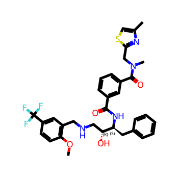 COc1ccc(C(F)(F)F)cc1CNC[C@@H](O)[C@H](Cc1ccccc1)NC(=O)c1cccc(C(=O)N(C)Cc2nc(C)cs2)c1